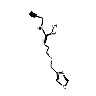 C#CCN/C(=N/CCSCc1cscn1)NC#N